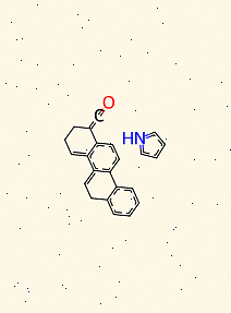 O=C=C1CCC=c2c1ccc1c2=CCc2ccccc2-1.c1cc[nH]c1